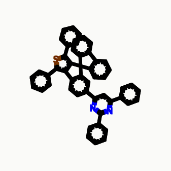 c1ccc(-c2cc(-c3ccc4c(c3)C3(c5ccccc5-c5ccccc53)c3c(-c5ccccc5)sc(-c5ccccc5)c3-4)nc(-c3ccccc3)n2)cc1